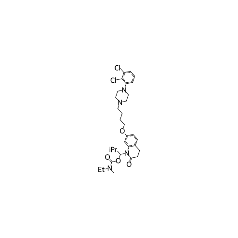 CCN(C)C(=O)OC(C(C)C)N1C(=O)CCc2ccc(OCCCCN3CCN(c4cccc(Cl)c4Cl)CC3)cc21